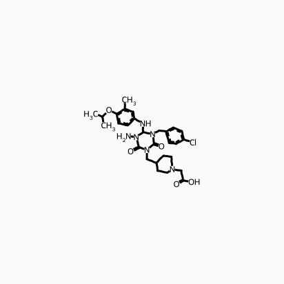 Cc1cc(NC2N(N)C(=O)N(CC3CCN(CC(=O)O)CC3)C(=O)N2Cc2ccc(Cl)cc2)ccc1OC(C)C